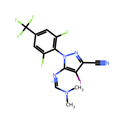 CN(C)/C=N\c1c(I)c(C#N)nn1-c1c(F)cc(C(F)(F)F)cc1F